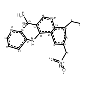 CCc1cc(C[SH](=O)=O)cc2c(Nc3cccnc3)c(C(N)=O)cnc12